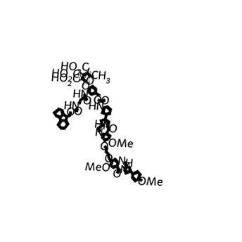 COc1ccc(C2=CN3C(=O)c4cc(OC)c(OCCCOc5cc6c(cc5OC)C(=O)N5C=C(c7cccc(NC(=O)OCc8ccc(O[C@@H]9O[C@H](C)[C@H](CC(=O)O)[C@H](CC(=O)O)[C@H]9CC(=O)O)c(NC(=O)CCNC(=O)OCC9c%10ccccc%10-c%10ccccc%109)c8)c7)C[C@H]5C=N6)cc4N=C[C@@H]3C2)cc1